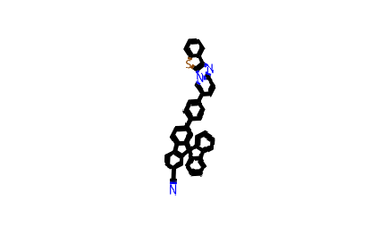 N#Cc1ccc2c(c1)C1(c3ccccc3-c3ccccc31)c1cc(-c3ccc(-c4ccc5nc6c7ccccc7sc6n5c4)cc3)ccc1-2